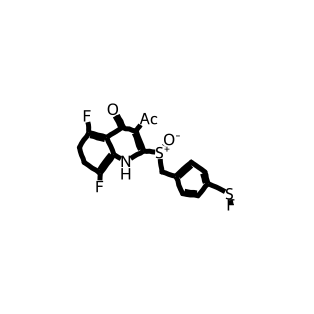 CC(=O)c1c([S+]([O-])Cc2ccc(SF)cc2)[nH]c2c(c1=O)=C(F)CCC=2F